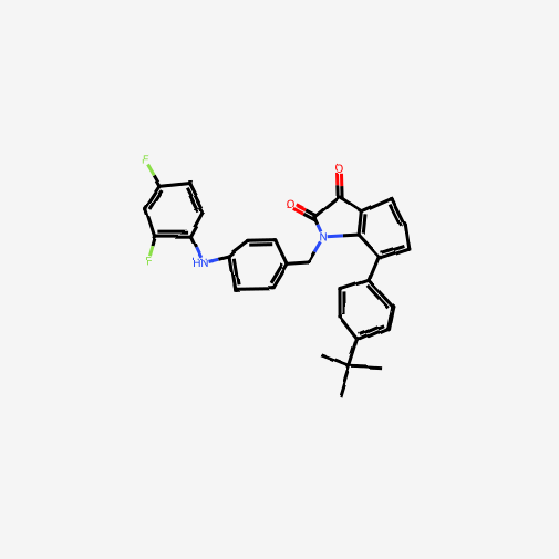 CC(C)(C)c1ccc(-c2cccc3c2N(Cc2ccc(Nc4ccc(F)cc4F)cc2)C(=O)C3=O)cc1